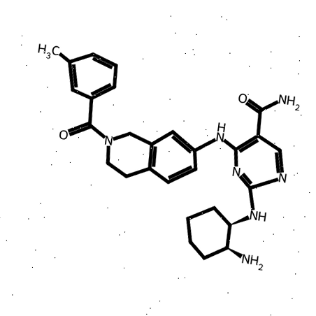 Cc1cccc(C(=O)N2CCc3ccc(Nc4nc(N[C@@H]5CCCC[C@@H]5N)ncc4C(N)=O)cc3C2)c1